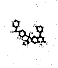 Cn1cncc1C(O)(c1ccc(C(O)c2cccnc2)cc1)c1ccc2c(c1)c(-c1cccc(Cl)c1)cc(=O)n2C